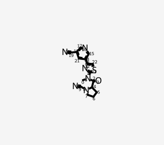 CN(C(=O)C1CCCN1C#N)c1nc(-c2cncc(C#N)c2)cs1